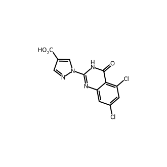 O=C(O)c1cnn(-c2nc3cc(Cl)cc(Cl)c3c(=O)[nH]2)c1